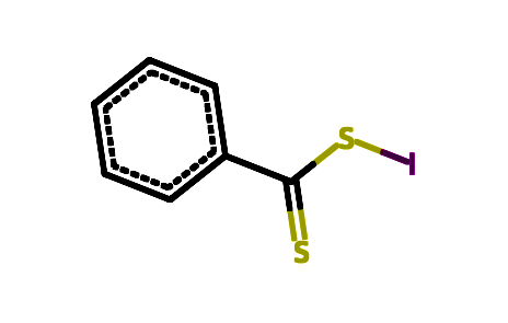 S=C(SI)c1ccccc1